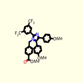 COC(=O)c1ccc(Cn2c(-c3cc(C(F)(F)F)cc(C(F)(F)F)c3)nc(-c3ccc(OC)cc3)c2-c2ccc(OC)cc2)cc1